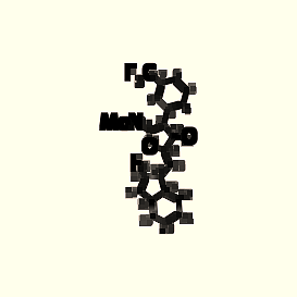 CNC1=C(c2cccc(C(F)(F)F)c2)C(=O)/C(=C/C2C(F)=Cc3ccccc32)O1